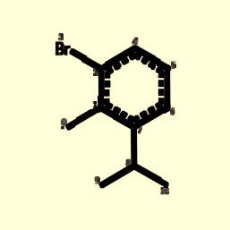 [CH2]c1c(Br)cccc1C(C)C